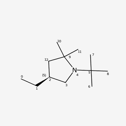 CC[C@@H]1CN(C(C)(C)C)C(C)(C)C1